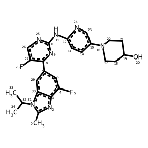 Cc1nc2c(F)cc(-c3nc(Nc4ccc(N5CCC(O)CC5)cn4)ncc3F)cc2n1C(C)C